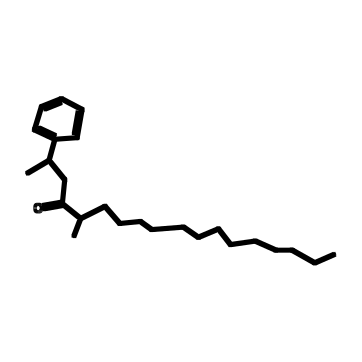 CCCCCCCCCCCCCC(C)C(=O)CC(C)c1ccccc1